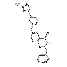 Cn1cc(-c2cc(Oc3ccc4nc(Cc5cccnc5)[nH]c(=O)c4c3)ccn2)cn1